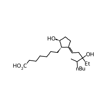 CCCCC(C)C(O)(CC)CC=C1CC[C@H](O)[C@@H]1CCCCCCC(=O)O